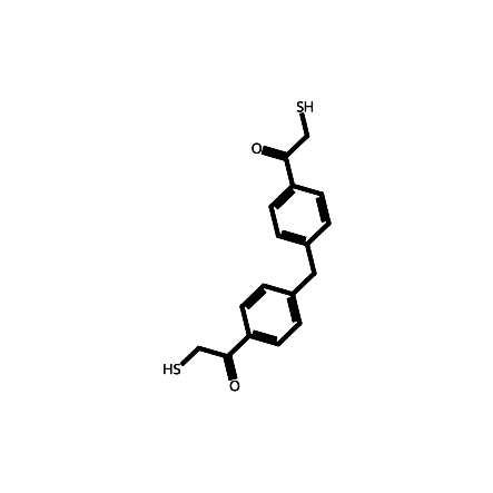 O=C(CS)c1ccc(Cc2ccc(C(=O)CS)cc2)cc1